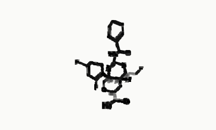 O=C(NC1=N[C@@]2(c3ccc(F)cc3F)CO[C@@H](C(=O)O)C[C@H]2[C@@H](CF)S1)c1ccccc1